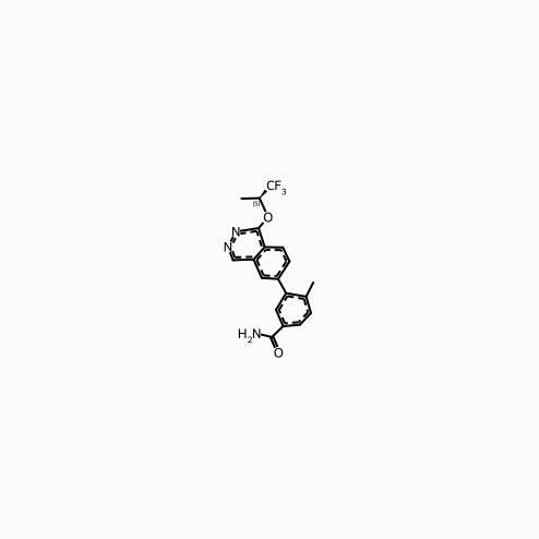 Cc1ccc(C(N)=O)cc1-c1ccc2c(O[C@@H](C)C(F)(F)F)nncc2c1